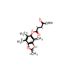 COC(=O)CCC(=O)Oc1c(C)c(C)c2c(c1C)SC(C)O2